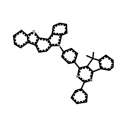 CC1(C)c2ccccc2-c2nc(-c3ccccc3)nc(-c3ccc(-n4c5ccccc5c5c6oc7ccccc7c6ccc54)cc3)c21